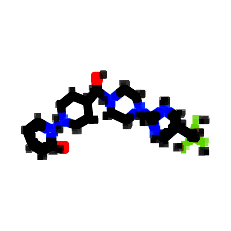 O=C(C1CCN(n2ccccc2=O)CC1)N1CCN(c2ncc(C(F)(F)F)cn2)CC1